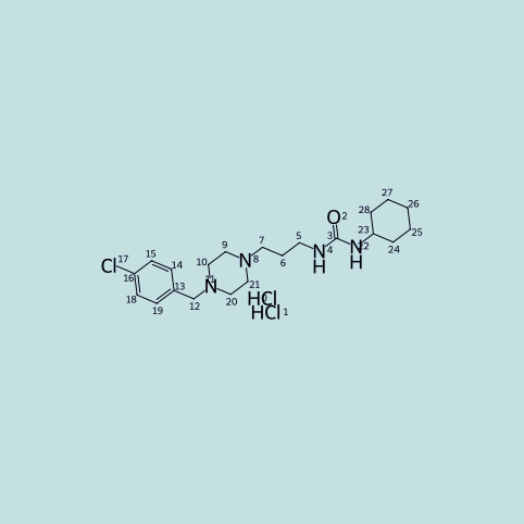 Cl.Cl.O=C(NCCCN1CCN(Cc2ccc(Cl)cc2)CC1)NC1CCCCC1